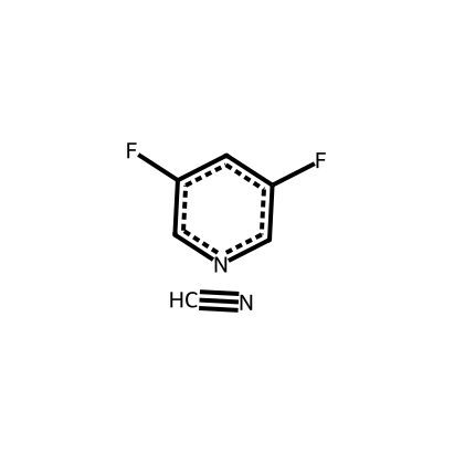 C#N.Fc1cncc(F)c1